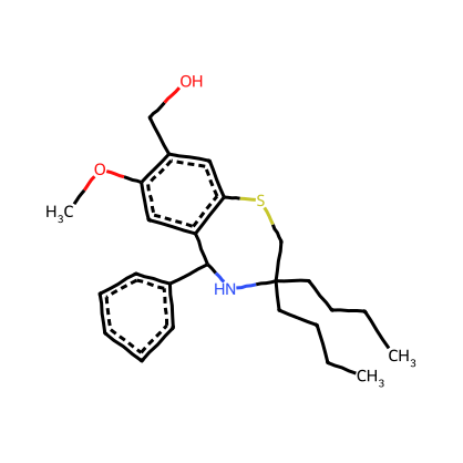 CCCCC1(CCCC)CSc2cc(CO)c(OC)cc2C(c2ccccc2)N1